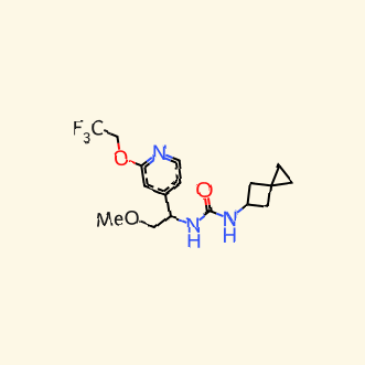 COCC(NC(=O)NC1CC2(CC2)C1)c1ccnc(OCC(F)(F)F)c1